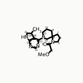 COCC(=O)N1CCCC12CCCN(c1ncnc3c1C(C)CN3)C2